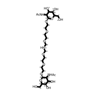 CC(=O)NC1C(O)[C@@H](O)C(CO)O[C@H]1OCCOCCOCNCOCCOCCO[C@@H]1OC(CO)[C@H](O)C(O)C1NC(C)=O